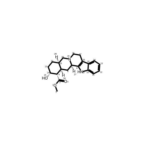 COC(=O)[C@H]1[C@@H]2C[C@@H]3c4[nH]c5ccccc5c4CCN3C[C@@H]2CC[C@H]1O